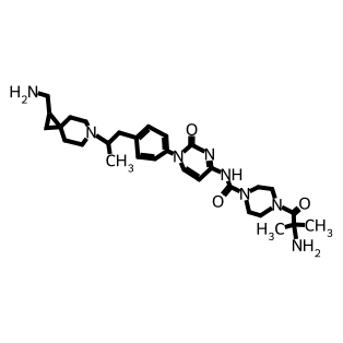 CC(Cc1ccc(-n2ccc(NC(=O)N3CCN(C(=O)C(C)(C)N)CC3)nc2=O)cc1)N1CCC2(CC1)CC2CN